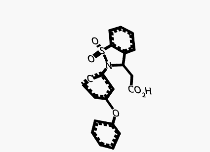 O=C(O)CC1c2ccccc2S(=O)(=O)N1c1cccc(Oc2ccccc2)c1